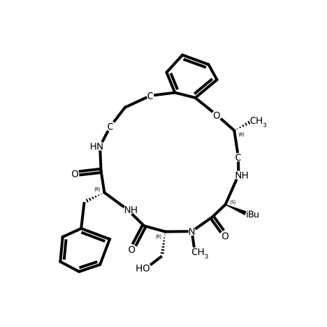 CCC(C)[C@@H]1NC[C@@H](C)Oc2ccccc2CCCNC(=O)[C@@H](Cc2ccccc2)NC(=O)[C@@H](CO)N(C)C1=O